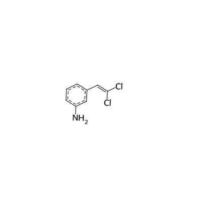 Nc1cccc(C=C(Cl)Cl)c1